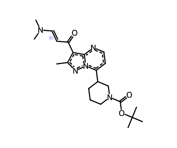 Cc1nn2c(C3CCCN(C(=O)OC(C)(C)C)C3)ccnc2c1C(=O)/C=C/N(C)C